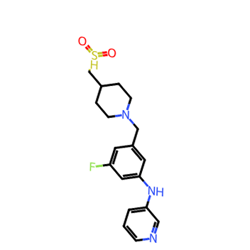 O=[SH](=O)CC1CCN(Cc2cc(F)cc(Nc3cccnc3)c2)CC1